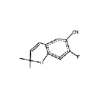 CC1(C)C=Cc2cc(C#N)c(F)cc2O1